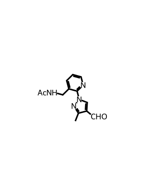 CC(=O)NCc1cccnc1-n1cc(C=O)c(C)n1